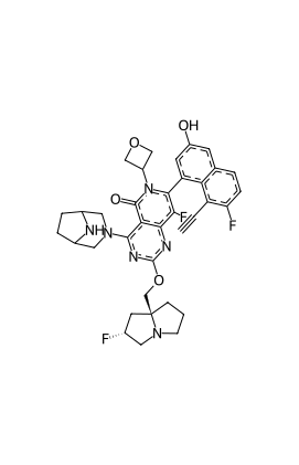 C#Cc1c(F)ccc2cc(O)cc(-c3c(F)c4nc(OC[C@@]56CCCN5C[C@H](F)C6)nc(N5CC6CCC(C5)N6)c4c(=O)n3C3COC3)c12